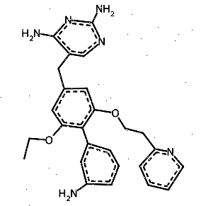 CCOc1cc(Cc2cnc(N)nc2N)cc(OCCc2ccccn2)c1-c1cccc(N)c1